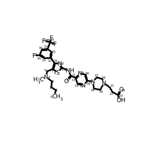 CCCCN(C)Cc1sc(NC(=O)c2cnc(N3CCN(CCC(=O)O)CC3)cn2)nc1-c1cc(F)cc(C(F)(F)F)c1